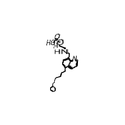 O=[PH](O)OCCNCc1ccc(CCCCCCc2ccccc2)c2cccnc12